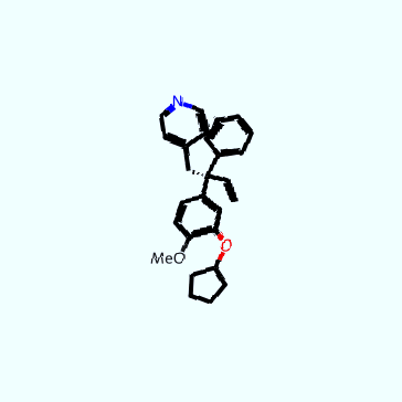 C=C[C@](Cc1ccncc1)(c1ccccc1)c1ccc(OC)c(OC2CCCC2)c1